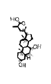 CC(C[C@@H](C)[C@H]1CCC2C3C(CC[C@@]21C)[C@@]1(C)CC[C@@H](O)C[C@H]1[C@@H](C)[C@H]3O)C(=O)O